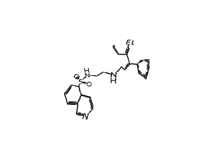 C=CC(=C\CC)/C(=C\CNCCNS(=O)(=O)C1C=CC=C2C=NC=CC21)c1ccccc1